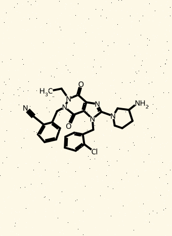 CCn1c(=O)c2nc(N3CCCC(N)C3)n(Cc3ccccc3Cl)c2c(=O)n1Cc1ccccc1C#N